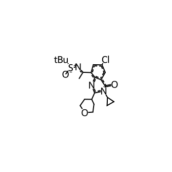 C/C(=N\[S@+]([O-])C(C)(C)C)c1cc(Cl)cc2c(=O)n(C3CC3)c(C3CCOCC3)nc12